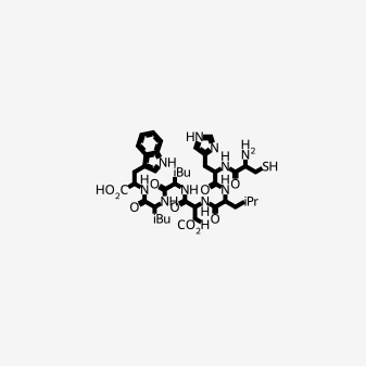 CCC(C)C(NC(=O)C(CC(=O)O)NC(=O)C(CC(C)C)NC(=O)C(Cc1c[nH]cn1)NC(=O)C(N)CS)C(=O)NC(C(=O)NC(Cc1c[nH]c2ccccc12)C(=O)O)C(C)CC